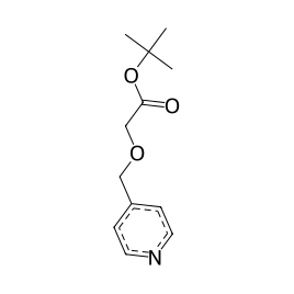 CC(C)(C)OC(=O)COCc1ccncc1